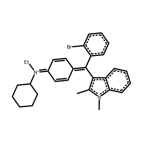 CC[N+](=C1C=CC(=C(c2ccccc2Br)c2c(C)n(C)c3ccccc23)C=C1)C1CCCCC1